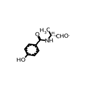 C[C@H]([C]=O)NC(=O)c1ccc(O)cc1